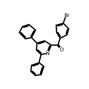 O=C(c1ccc(Br)cc1)c1cc(-c2ccccc2)cc(-c2ccccc2)n1